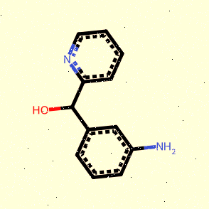 Nc1cccc(C(O)c2ccccn2)c1